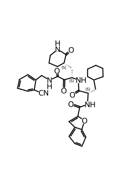 N#Cc1ccccc1CNC(=O)C(=O)[C@H](C[C@@H]1CCCNC1=O)NC(=O)[C@H](CC1CCCCC1)NC(=O)c1cc2ccccc2o1